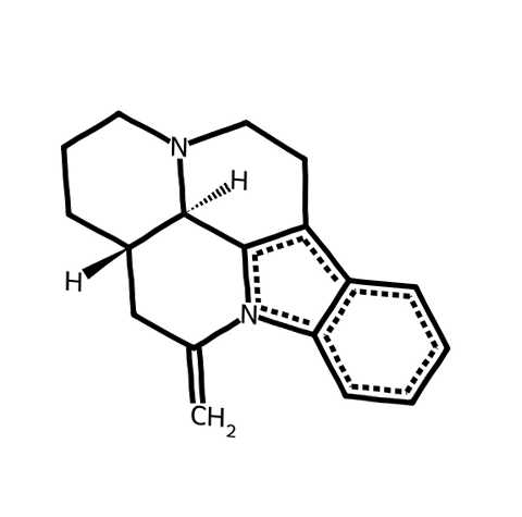 C=C1C[C@@H]2CCCN3CCc4c(n1c1ccccc41)[C@@H]23